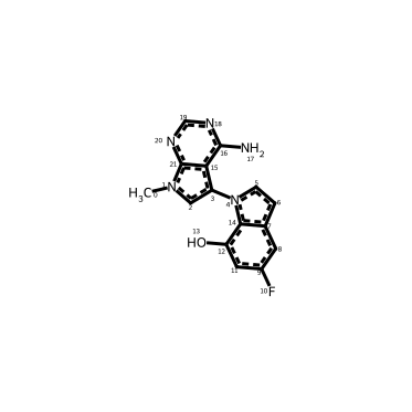 Cn1cc(-n2ccc3cc(F)cc(O)c32)c2c(N)ncnc21